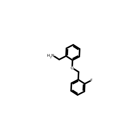 NCc1ccccc1OCc1ccccc1F